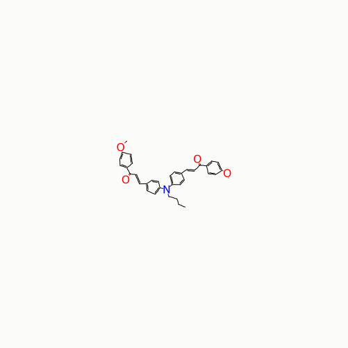 CCCCN(c1ccc(C=CC(=O)c2ccc(OC)cc2)cc1)c1ccc(C=CC(=O)c2ccc(OC)cc2)cc1